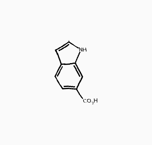 O=C(O)c1ccc2c[c][nH]c2c1